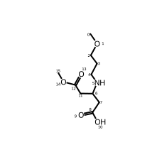 COCCCNC(CC(=O)O)CC(=O)OC